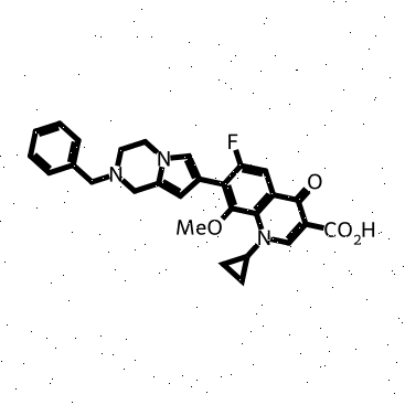 COc1c(-c2cc3n(c2)CCN(Cc2ccccc2)C3)c(F)cc2c(=O)c(C(=O)O)cn(C3CC3)c12